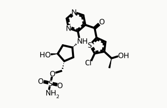 C[C@H](O)c1cc(C(=O)c2cncnc2N[C@@H]2C[C@H](COS(N)(=O)=O)[C@@H](O)C2)sc1Cl